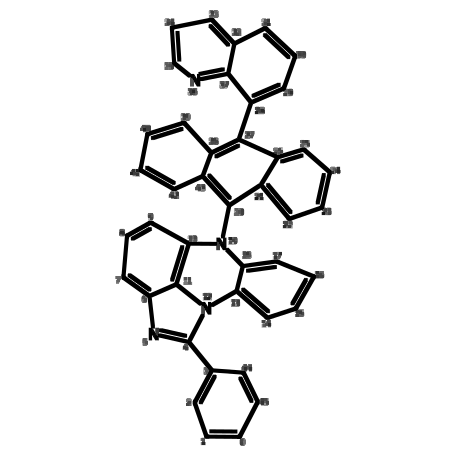 c1ccc(-c2nc3cccc4c3n2-c2ccccc2N4c2c3ccccc3c(-c3cccc4cccnc34)c3ccccc23)cc1